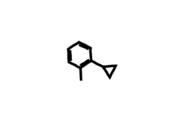 Cc1ccc[c]c1C1CC1